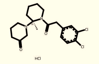 C[C@]1(N2CCCC(=O)C2)CCCCN1C(=O)Cc1ccc(Cl)c(Cl)c1.Cl